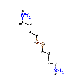 NCCCCSSCCCCN